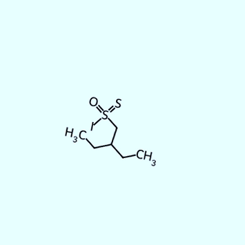 CCC(CC)CS(=O)(=S)I